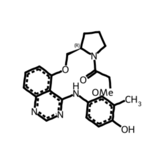 COCC(=O)N1CCC[C@@H]1COc1cccc2ncnc(Nc3ccc(O)c(C)c3)c12